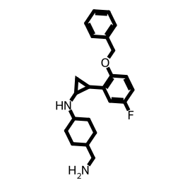 NCC1CCC(NC2CC2c2cc(F)ccc2OCc2ccccc2)CC1